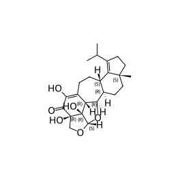 CC(C)C1=C2[C@H]3CCC4=C(O)C(=O)[C@@]5(O)CO[C@H]6O[C@H]([C@@H]3CC[C@@]2(C)CC1)[C@@H]4[C@]65O